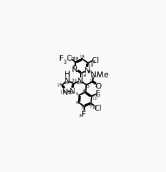 CNC(=O)C(c1ccc(F)c(Cl)c1F)N(c1nc(Cl)cc(C(F)(F)F)n1)c1nnc[nH]1